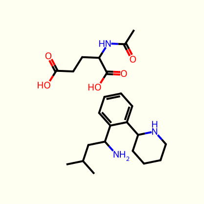 CC(=O)NC(CCC(=O)O)C(=O)O.CC(C)CC(N)c1ccccc1C1CCCCN1